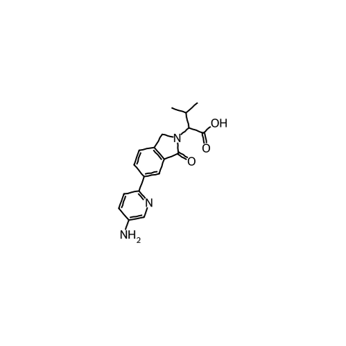 CC(C)C(C(=O)O)N1Cc2ccc(-c3ccc(N)cn3)cc2C1=O